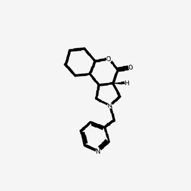 O=C1OC2CCCCC2C2CN(Cc3cccnc3)C[C@@H]12